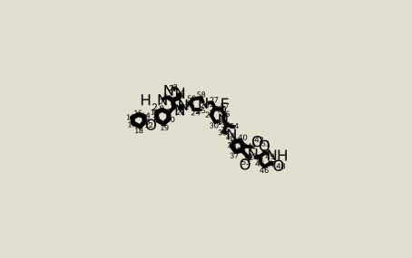 Nc1ncnc2c1c(-c1ccc(Oc3ccccc3)cc1)nn2C1CCN(CC2CCN(C3CN(c4ccc5c(c4)C(=O)N(C4CCC(=O)NC4=O)C5=O)C3)C[C@H]2F)CC1